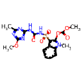 COC(=O)Oc1c(S(=O)(=O)NC(=O)Nc2nc(C)nc(OC)n2)c2ccccc2n1C